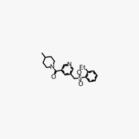 CCc1ccccc1S(=O)(=O)Cc1cncc(C(=O)N2CCC(C)CC2)c1